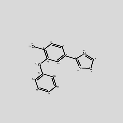 Oc1ccc(-c2ncon2)cc1Oc1ccccc1